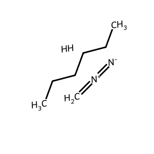 C=[N+]=[N-].CCCCCC.[HH]